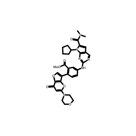 COC(=O)c1cc(Nc2ncc3cc(C(=O)N(C)C)n(C4CCCC4)c3n2)ccc1-c1coc2c(=O)cc(N3CCOCC3)oc12